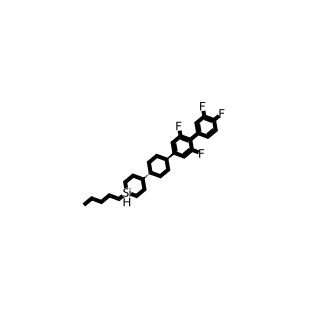 CCCCC[SiH]1CCC([C@H]2CC[C@H](c3cc(F)c(-c4ccc(F)c(F)c4)c(F)c3)CC2)CC1